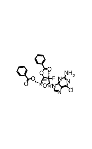 Nc1nc(Cl)c2ncn([C@@H]3O[C@H](COC(=O)c4ccccc4)[C@@H](OC(=O)c4ccccc4)C3(F)F)c2n1